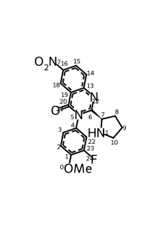 COc1ccc(-n2c([C@H]3CCCN3)nc3ccc([N+](=O)[O-])cc3c2=O)cc1F